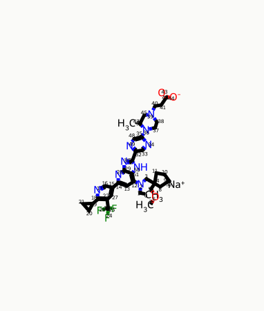 CCN(CC1(COC)CCCC1)c1cc(-c2cnc(C3CC3)c(C(F)(F)F)c2)nc2nc(-c3cnc(N4CCN(CCC(=O)[O-])C[C@H]4C)cn3)[nH]c12.[Na+]